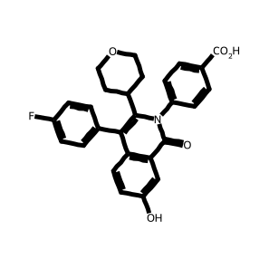 O=C(O)c1ccc(-n2c(C3CCOCC3)c(-c3ccc(F)cc3)c3ccc(O)cc3c2=O)cc1